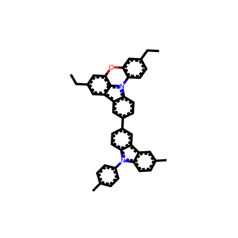 CCc1ccc2c(c1)Oc1cc(CC)cc3c4cc(-c5ccc6c(c5)c5cc(C)ccc5n6-c5ccc(C)cc5)ccc4n-2c13